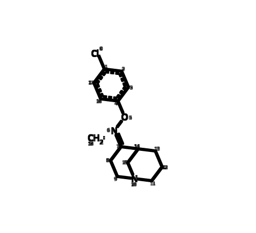 Clc1ccc(ON=C2CCN3CCCC2C3)cc1.[CH2]